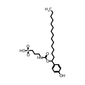 CCCCCCCCCCCCCCC(OC(=O)NCCCS(=O)(=O)O)c1ccc(O)cc1